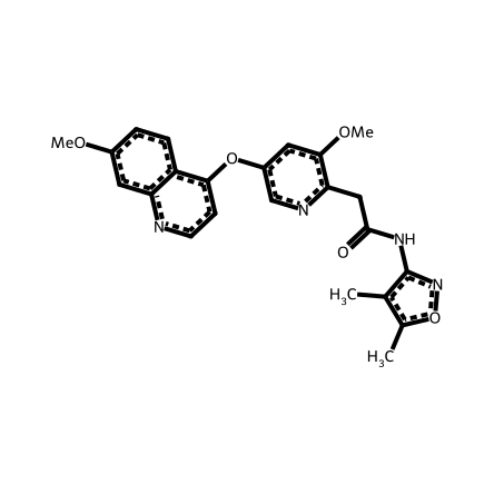 COc1ccc2c(Oc3cnc(CC(=O)Nc4noc(C)c4C)c(OC)c3)ccnc2c1